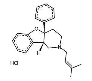 CC(C)=CCN1CC[C@@]2(c3ccccc3)Oc3ccccc3[C@H]2C1.Cl